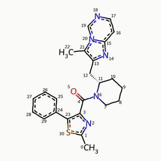 Cc1nc(C(=O)N2CCCC[C@H]2Cc2nc3ccncn3c2C)c(-c2ccccc2)s1